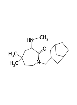 CNC1CC(C)(C)CCN(CC2CC3CCC(C3)C2)C1=O